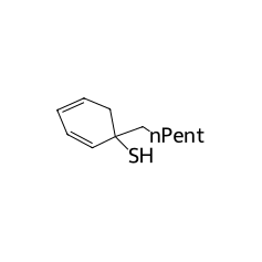 CCCCCCC1(S)C=CC=CC1